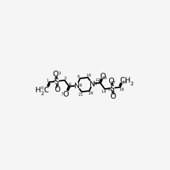 C=CS(=O)(=O)CC(=O)N1CCN(C(=O)CS(=O)(=O)C=C)CC1